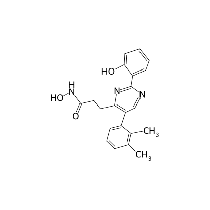 Cc1cccc(-c2cnc(-c3ccccc3O)nc2CCC(=O)NO)c1C